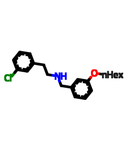 CCCCCCOc1cccc(CNCCc2cccc(Cl)c2)c1